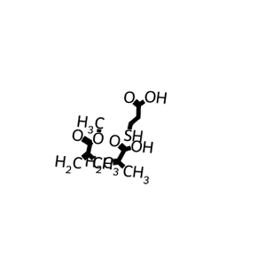 C=C(C)C(=O)O.C=C(C)C(=O)OC.O=C(O)CCS